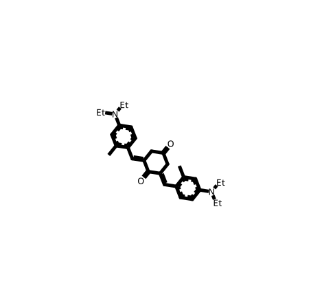 CCN(CC)c1ccc(C=C2CC(=O)CC(=Cc3ccc(N(CC)CC)cc3C)C2=O)c(C)c1